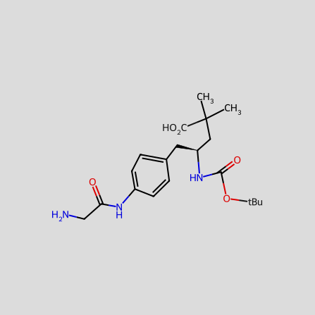 CC(C)(C)OC(=O)N[C@@H](Cc1ccc(NC(=O)CN)cc1)CC(C)(C)C(=O)O